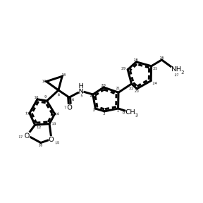 Cc1ccc(NC(=O)C2(c3ccc4c(c3)OCO4)CC2)cc1-c1ccc(CN)cc1